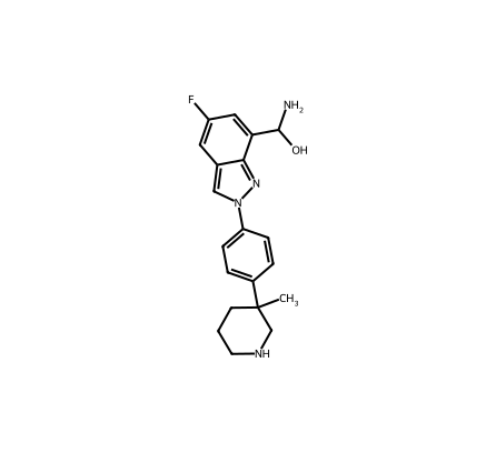 CC1(c2ccc(-n3cc4cc(F)cc(C(N)O)c4n3)cc2)CCCNC1